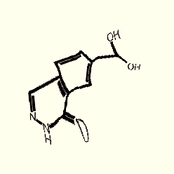 O=c1[nH]ncc2ccc(C(O)O)cc12